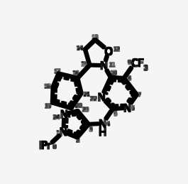 CC(C)n1cc(Nc2ncc(C(F)(F)F)c(N3OCCC3c3ccccc3)n2)cn1